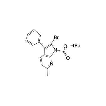 Cc1ccc2c(-c3ccccc3)c(Br)n(C(=O)OC(C)(C)C)c2n1